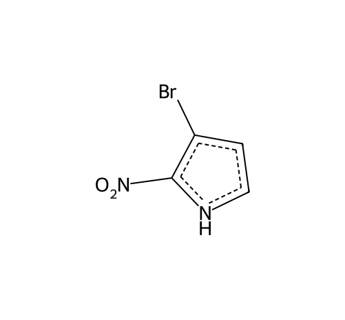 O=[N+]([O-])c1[nH]ccc1Br